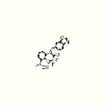 C[C@H](O)c1cccc2c1OC(F)(F)C(=O)N2Cc1ccc2ncoc2c1